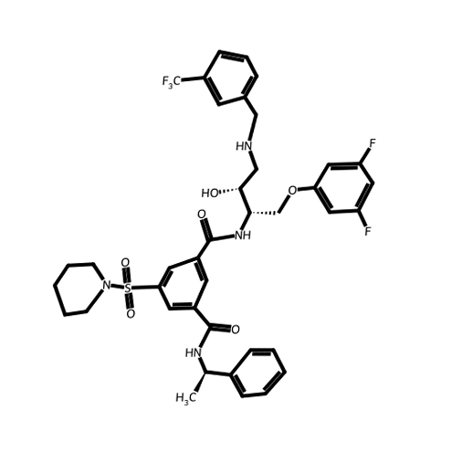 C[C@@H](NC(=O)c1cc(C(=O)N[C@@H](COc2cc(F)cc(F)c2)[C@H](O)CNCc2cccc(C(F)(F)F)c2)cc(S(=O)(=O)N2CCCCC2)c1)c1ccccc1